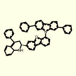 C1=CC2=C(c3ccccc3)C[C@@H](c3ccc4c(c3)oc3c(-n5c6cc(-c7ccccc7)ccc6c6ccc(-c7ccccc7)cc65)cccc34)NC2C=C1